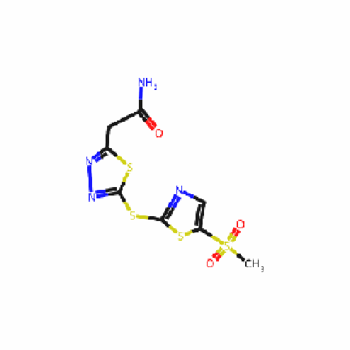 CS(=O)(=O)c1cnc(Sc2nnc(CC(N)=O)s2)s1